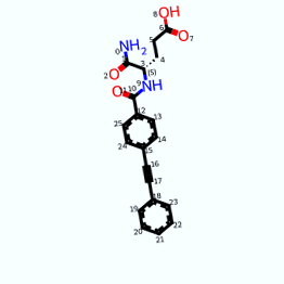 NC(=O)[C@H](CCC(=O)O)NC(=O)c1ccc(C#Cc2ccccc2)cc1